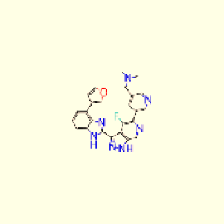 CN(C)Cc1cncc(-c2ncc3[nH]nc(-c4nc5c(-c6ccoc6)cccc5[nH]4)c3c2F)c1